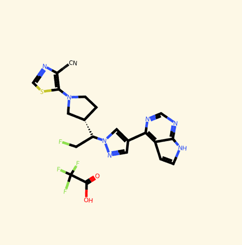 N#Cc1ncsc1N1CC[C@H](C(CF)n2cc(-c3ncnc4[nH]ccc34)cn2)C1.O=C(O)C(F)(F)F